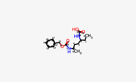 CCC(CCC(C)NC(=O)OCc1ccccc1)NC(=O)O